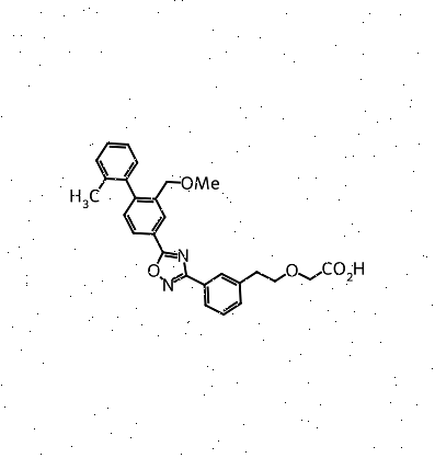 COCc1cc(-c2nc(-c3cccc(CCOCC(=O)O)c3)no2)ccc1-c1ccccc1C